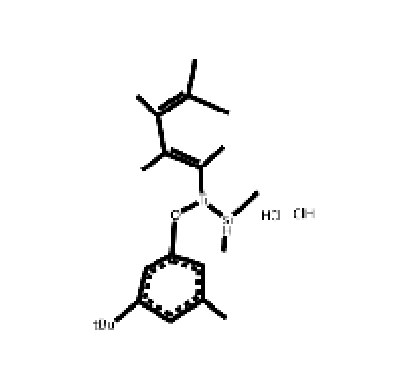 CC(C)=C(C)C(C)=[C](C)[Ti]([O]c1cc(C)cc(C(C)(C)C)c1)[SiH](C)C.Cl.Cl